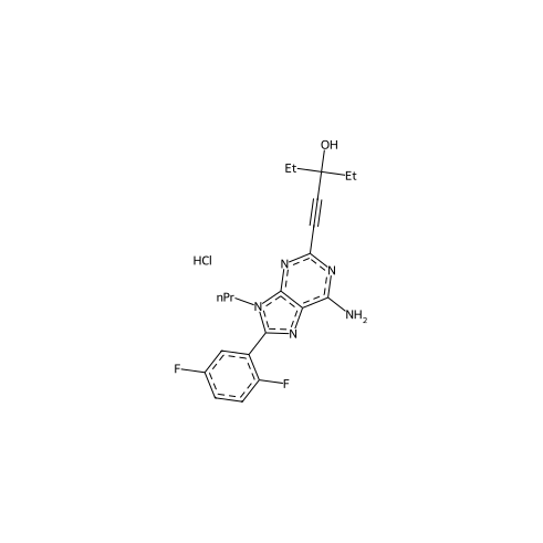 CCCn1c(-c2cc(F)ccc2F)nc2c(N)nc(C#CC(O)(CC)CC)nc21.Cl